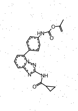 C=C(C)OC(=O)Nc1ccc(-c2cccc3nc(NC(=O)C4CC4)nn23)cc1